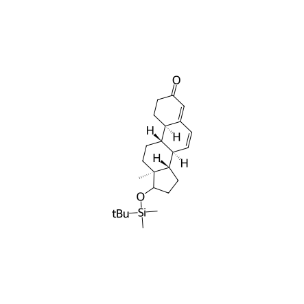 CC(C)(C)[Si](C)(C)OC1CC[C@H]2[C@@H]3C=CC4=CC(=O)CC[C@@H]4[C@H]3CC[C@]12C